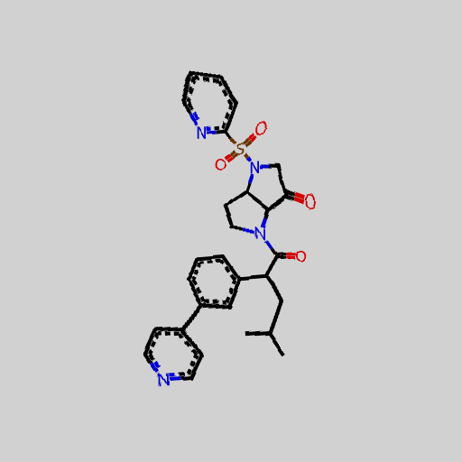 CC(C)CC(C(=O)N1CCC2C1C(=O)CN2S(=O)(=O)c1ccccn1)c1cccc(-c2ccncc2)c1